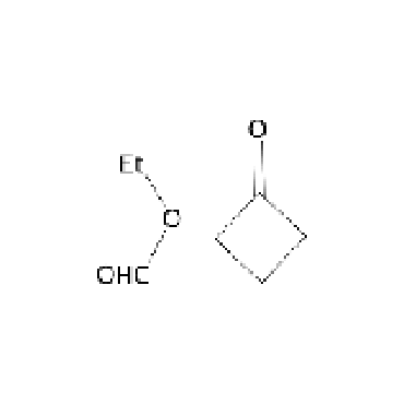 CCOC=O.O=C1CCC1